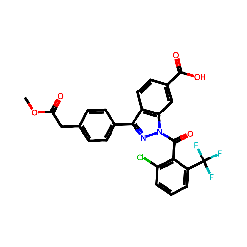 COC(=O)Cc1ccc(-c2nn(C(=O)c3c(Cl)cccc3C(F)(F)F)c3cc(C(=O)O)ccc23)cc1